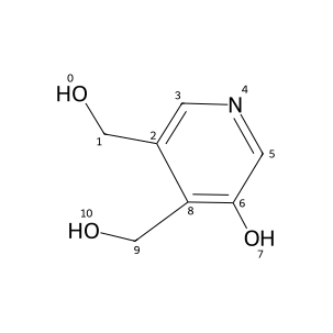 OCc1cncc(O)c1CO